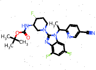 CC(c1ccc(C#N)cn1)n1c(N2CC[C@@H](F)[C@H](NC(=O)OC(C)(C)C)C2)nc2c(F)cc(F)cc21